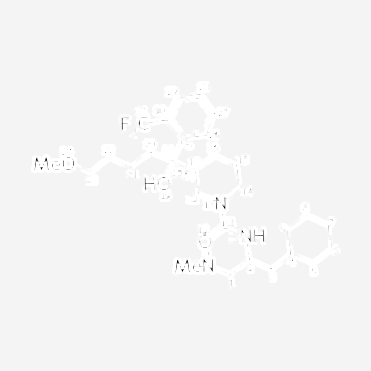 CNCC(CC1CCCCC1)NC(=O)N1CCC[C@@H]([C@@](O)(CCCCOC)c2ccccc2C(F)(F)F)C1